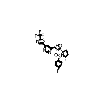 C[C@H]1CC[C@@H](C(=O)NCc2cc(-c3cnc(C(F)(F)F)s3)ncn2)N1[S+]([O-])c1ccc(F)cc1